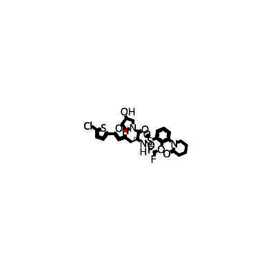 O=C([C@H](Cc1cc(-c2ccc(Cl)s2)on1)NS(=O)(=O)c1cccc(N2CCCCC2=O)c1OC(F)F)N1CCC(O)C1